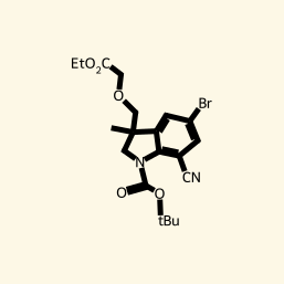 CCOC(=O)COCC1(C)CN(C(=O)OC(C)(C)C)c2c(C#N)cc(Br)cc21